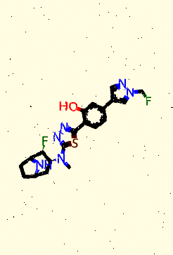 CN(c1nnc(-c2ccc(-c3cnn(CF)c3)cc2O)s1)[C@@H]1CC2CCC(N2)[C@@H]1F